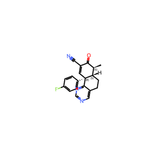 C[C@@H]1C(=O)C(C#N)=C[C@]2(c3ccc(F)cc3)c3ncncc3CC[C@@H]12